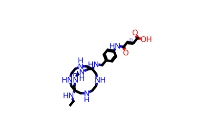 CCNC12CNCCNCC(NCc3ccc(NC(=O)/C=C/C(=O)O)cc3)(CNCCNC1)CNCCNC2